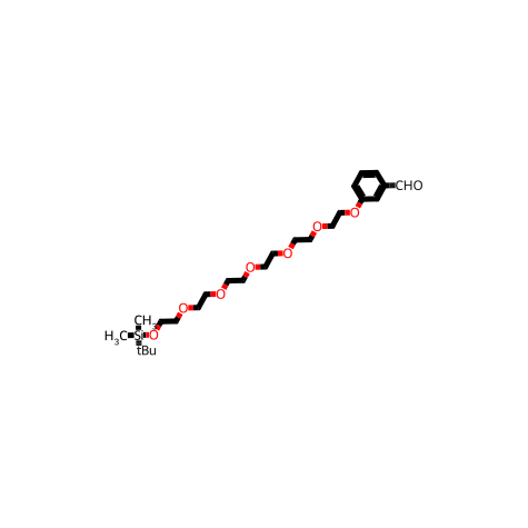 CC(C)(C)[Si](C)(C)OCCOCCOCCOCCOCCOCCOc1cccc(C=O)c1